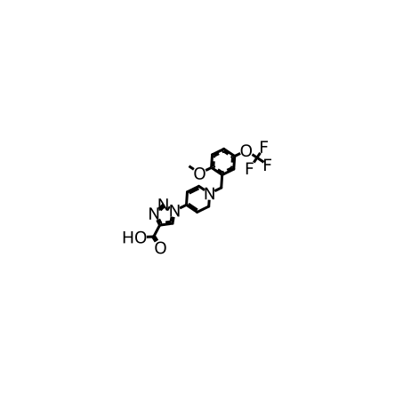 COc1ccc(OC(F)(F)F)cc1CN1C=CC(n2cc(C(=O)O)nn2)=CC1